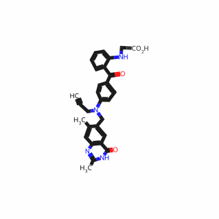 C#CCN(Cc1cc2c(=O)[nH]c(C)nc2cc1C)c1ccc(C(=O)c2ccccc2NCC(=O)O)cc1